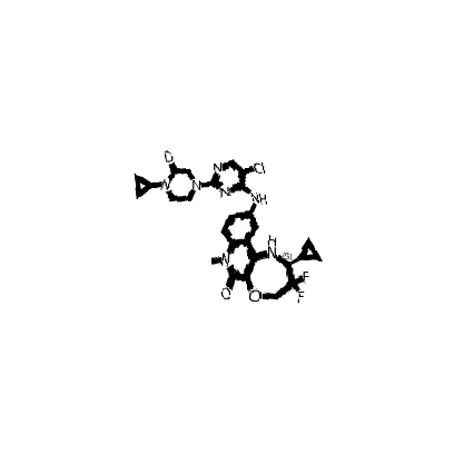 Cn1c(=O)c2c(c3cc(Nc4nc(N5CCN(C6CC6)C(=O)C5)ncc4Cl)ccc31)N[C@@H](C1CC1)C(F)(F)CO2